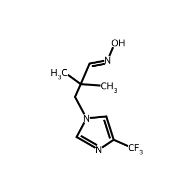 CC(C)(C=NO)Cn1cnc(C(F)(F)F)c1